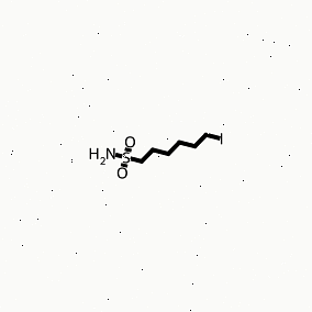 NS(=O)(=O)CCCCCCI